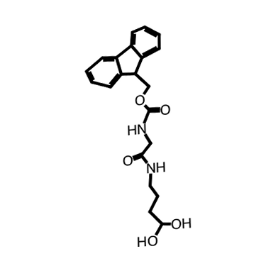 O=C(CNC(=O)OCC1c2ccccc2-c2ccccc21)NCCCC(O)O